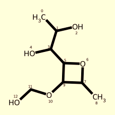 CC(O)C(O)C1OC(C)C1OCO